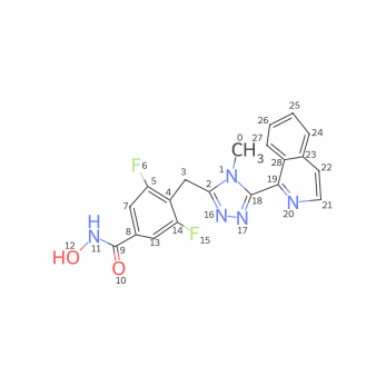 Cn1c(Cc2c(F)cc(C(=O)NO)cc2F)nnc1-c1nccc2ccccc12